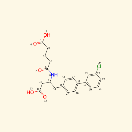 O=C(O)CCCC(=O)NC(CC(=O)O)Cc1ccc(-c2cccc(Cl)c2)cc1